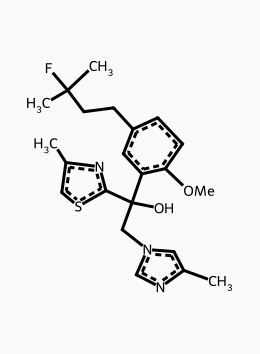 COc1ccc(CCC(C)(C)F)cc1C(O)(Cn1cnc(C)c1)c1nc(C)cs1